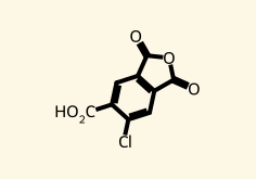 O=C(O)c1cc2c(cc1Cl)C(=O)OC2=O